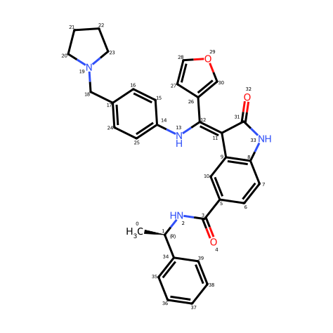 C[C@@H](NC(=O)c1ccc2c(c1)C(=C(Nc1ccc(CN3CCCC3)cc1)c1ccoc1)C(=O)N2)c1ccccc1